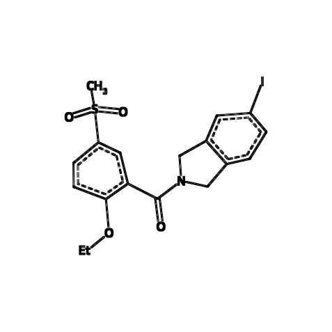 CCOc1ccc(S(C)(=O)=O)cc1C(=O)N1Cc2ccc(I)cc2C1